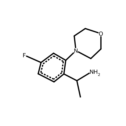 CC(N)c1ccc(F)cc1N1CCOCC1